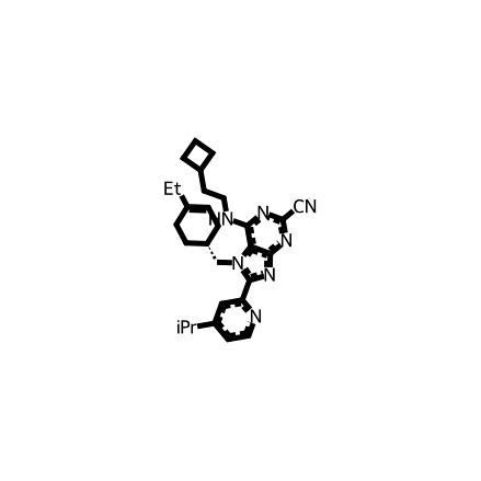 CCC1=CC[C@H](Cn2c(-c3cc(C(C)C)ccn3)nc3nc(C#N)nc(NCCC4CCC4)c32)CC1